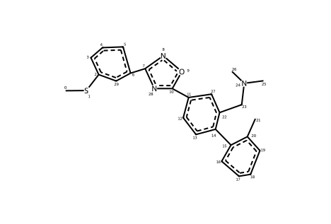 CSc1cccc(-c2noc(-c3ccc(-c4ccccc4C)c(CN(C)C)c3)n2)c1